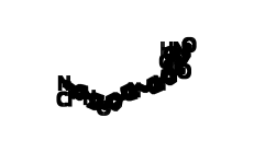 N#Cc1ccc(N2CCC(Oc3ccc(C4CCN(CCC5CCN(c6ccc7c(c6)C(=O)N(C6CCC(=O)NC6=O)C7=O)CC5)CC4)cc3)CC2)cc1Cl